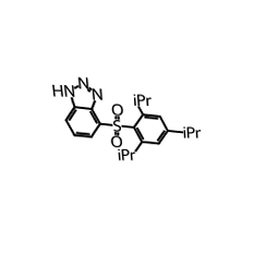 CC(C)c1cc(C(C)C)c(S(=O)(=O)c2cccc3[nH]nnc23)c(C(C)C)c1